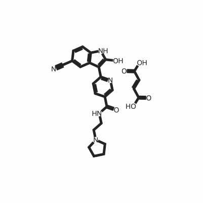 N#Cc1ccc2[nH]c(O)c(-c3ccc(C(=O)NCCN4CCCC4)cn3)c2c1.O=C(O)/C=C/C(=O)O